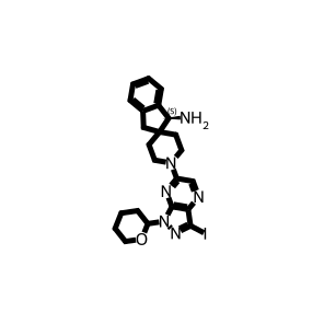 N[C@@H]1c2ccccc2CC12CCN(c1cnc3c(I)nn(C4CCCCO4)c3n1)CC2